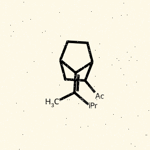 CC(=O)C1CC2CCC1/C2=C(/C)C(C)C